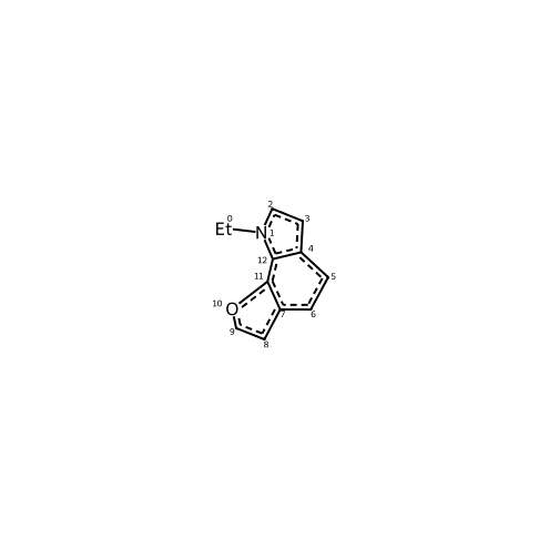 CCn1ccc2ccc3ccoc3c21